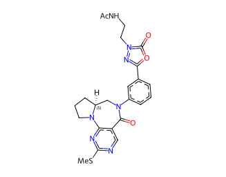 CSc1ncc2c(n1)N1CCC[C@H]1CN(c1cccc(-c3nn(CCNC(C)=O)c(=O)o3)c1)C2=O